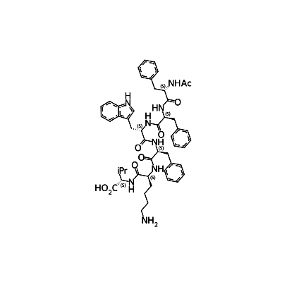 CC(=O)N[C@@H](Cc1ccccc1)C(=O)N[C@@H](Cc1ccccc1)C(=O)N[C@@H](Cc1c[nH]c2ccccc12)C(=O)N[C@@H](Cc1ccccc1)C(=O)N[C@@H](CCCCN)C(=O)N[C@H](C(=O)O)C(C)C